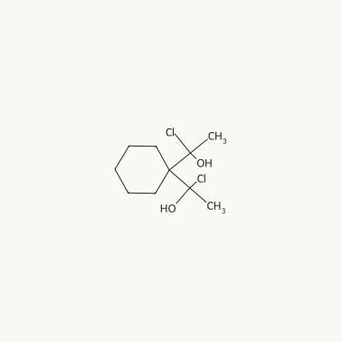 CC(O)(Cl)C1(C(C)(O)Cl)CCCCC1